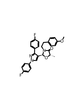 COc1ccc(CCN2C(=O)[C@H](C)O[C@H]2c2cn(-c3ccc(F)cc3)nc2-c2ccc(F)cc2)cc1